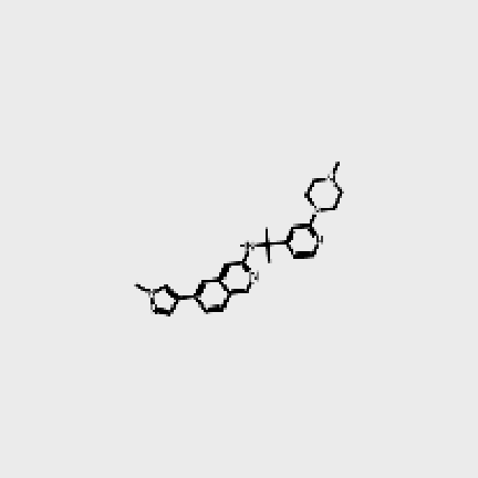 CN1CCN(c2cc(C(C)(C)Nc3cc4cc(-c5cnn(C)c5)ccc4cn3)ccn2)CC1